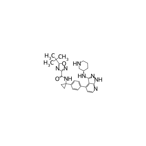 CC(C)(C)c1nc(C(=O)NC2(c3ccc(-c4ccnc5[nH]nc(N[C@@H]6CCCNC6)c45)cc3)CC2)no1